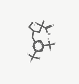 CCC(Cc1cc(C(F)(F)F)cc(C(F)(F)F)c1)CC(C)(N)C(=O)O